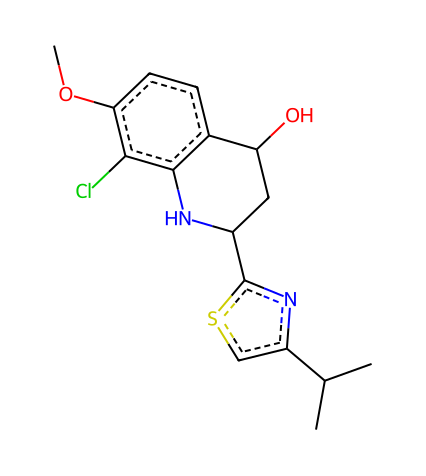 COc1ccc2c(c1Cl)NC(c1nc(C(C)C)cs1)CC2O